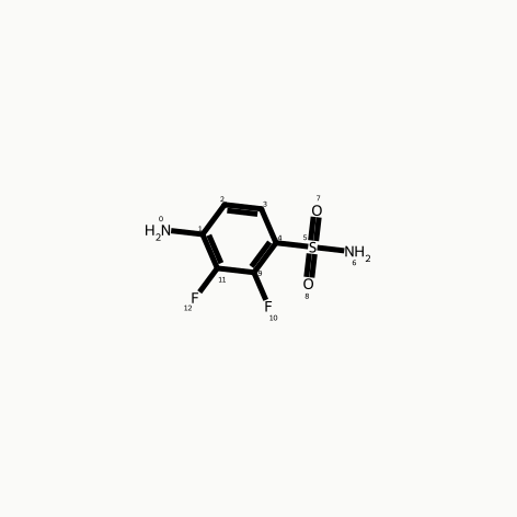 Nc1ccc(S(N)(=O)=O)c(F)c1F